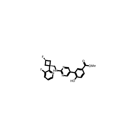 COC(=O)c1ccc(O)c(-c2cnc(NC[C@]3(c4ncccc4F)C[C@H](F)C3)nc2)c1